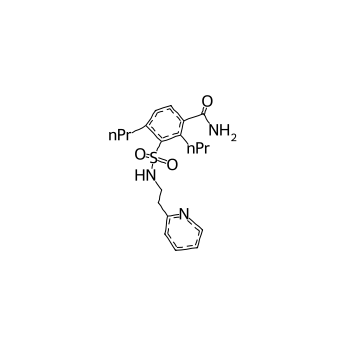 CCCc1ccc(C(N)=O)c(CCC)c1S(=O)(=O)NCCc1ccccn1